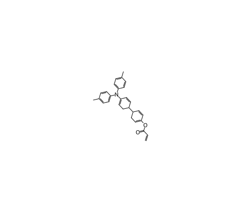 C=CC(=O)OC1=CCC(C2C=CC(N(c3ccc(C)cc3)c3ccc(C)cc3)=CC2)C=C1